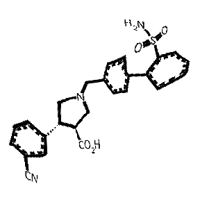 N#Cc1cccc([C@@H]2CN(Cc3ccc(-c4ccccc4S(N)(=O)=O)cc3)C[C@H]2C(=O)O)c1